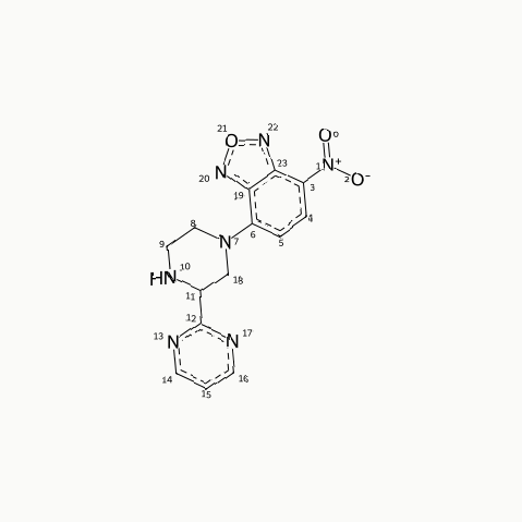 O=[N+]([O-])c1ccc(N2CCNC(c3ncccn3)C2)c2nonc12